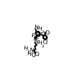 NCCCC[C@H](N)C(=O)O.NCc1cccc(C(F)(F)F)c1.O=Cc1ccc(Cl)cc1Cl